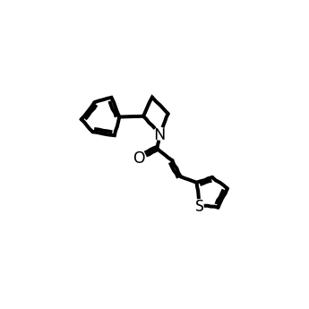 O=C(/C=C/c1cccs1)N1CCC1c1ccccc1